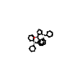 CN(C)C(c1ccccc1P(C1CCCCC1)C1CCCCC1)C1CCCC1P(C1CCCCC1)C1CCCCC1